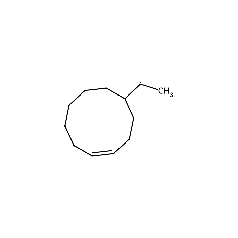 C[CH]C1CC/C=C\CCCCC1